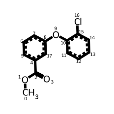 COC(=O)c1cccc(Oc2ccccc2Cl)c1